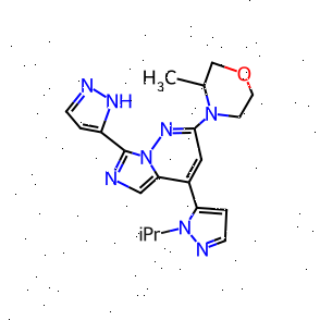 CC1COCCN1c1cc(-c2ccnn2C(C)C)c2cnc(-c3ccn[nH]3)n2n1